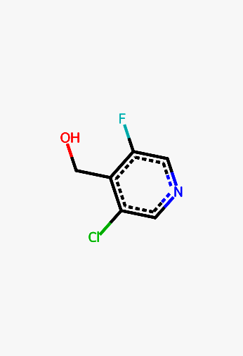 OCc1c(F)cncc1Cl